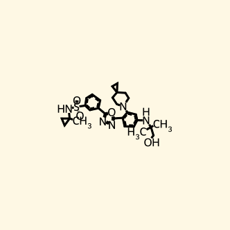 CC(C)(CO)Nc1ccc(-c2nnc(-c3cccc(S(=O)(=O)NC4(C)CC4)c3)o2)c(N2CCC3(CC2)CC3)c1